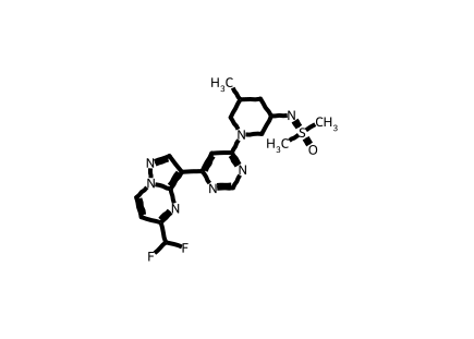 CC1CC(N=S(C)(C)=O)CN(c2cc(-c3cnn4ccc(C(F)F)nc34)ncn2)C1